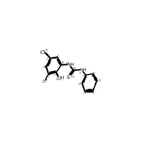 Oc1c(Cl)cc(Cl)cc1NC(=S)Nc1ccccc1